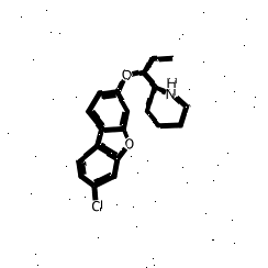 CCC(Oc1ccc2c(c1)oc1cc(Cl)ccc12)C1CCCCN1